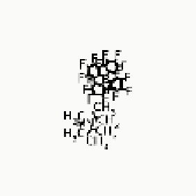 CCC(C)[NH+](C(C)CC)C(C)CC.Fc1c(F)c(F)c([B-](c2c(F)c(F)c(F)c(F)c2F)(c2c(F)c(F)c(F)c(F)c2F)c2c(F)c(F)c(F)c(F)c2F)c(F)c1F